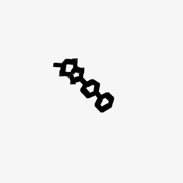 Cc1cnc2nc(-c3ccc(-c4ccccc4)cc3)nn2n1